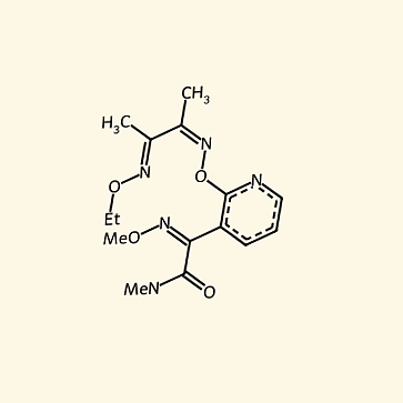 CCON=C(C)C(C)=NOc1ncccc1C(=NOC)C(=O)NC